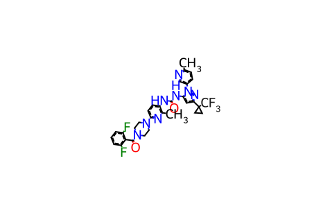 Cc1ccc(-n2nc(C3(C(F)(F)F)CC3)cc2NC(=O)Nc2ccc(N3CCN(C(=O)c4c(F)cccc4F)CC3)nc2C)cn1